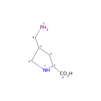 O=C(O)C1CC(CP)CN1